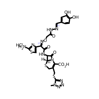 Cl.Cn1nnnc1SCC1=C(C(=O)O)N2C(=O)C(NC(=O)/C(=N\OCC(=O)N/N=C/c3ccc(O)c(O)c3)c3csc(N)n3)[C@H]2SC1